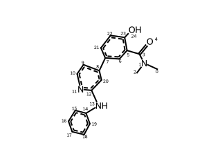 CN(C)C(=O)c1cc(-c2ccnc(Nc3ccccc3)c2)ccc1O